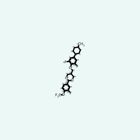 CC1CCC(c2cc(F)c(OCC3COC(c4ccc(OC(F)(F)F)c(F)c4)OC3)c(F)c2)CC1